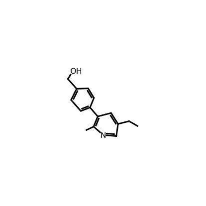 CCc1cnc(C)c(-c2ccc(CO)cc2)c1